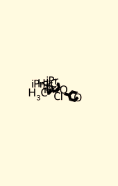 C=CC(OCC1CCOCC1)=C(Cl)C(=CC)S[Si](C(C)C)(C(C)C)C(C)C